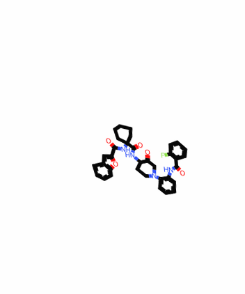 O=C(NC1(C(=O)NC2CCN(c3ccccc3NC(=O)c3ccccc3F)CC2=O)CCCCC1)c1cc2ccccc2o1